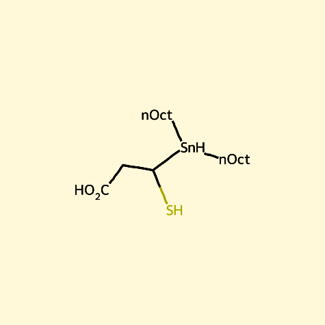 CCCCCCC[CH2][SnH]([CH2]CCCCCCC)[CH](S)CC(=O)O